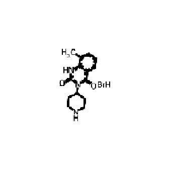 Br.Cc1cccc2c(=O)n(C3CCNCC3)c(=O)[nH]c12